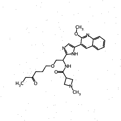 CCC(=O)CCCOCC(NC(=O)C1CN(C)C1)c1ncc(-c2cc3ccccc3nc2OC)[nH]1